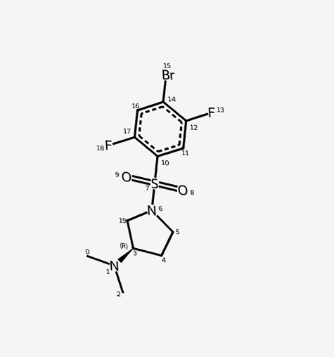 CN(C)[C@@H]1CCN(S(=O)(=O)c2cc(F)c(Br)cc2F)C1